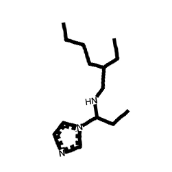 CCCCC(CC)CNC(CC)n1ccnc1